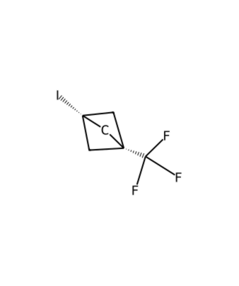 FC(F)(F)[C@]12C[C@](I)(C1)C2